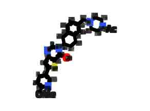 COc1ccc(-c2cc3ncn(C4CCc5cc(CN6CCN(C(C)=O)CC6)ccc5C4)c(=O)c3s2)cn1